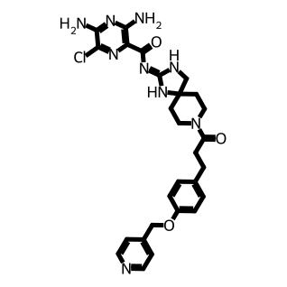 Nc1nc(N)c(C(=O)/N=C2\NCC3(CCN(C(=O)CCc4ccc(OCc5ccncc5)cc4)CC3)N2)nc1Cl